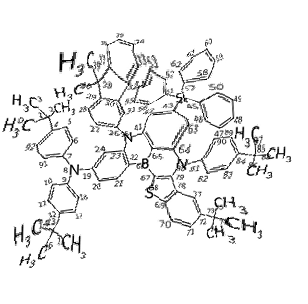 CC(C)(C)c1ccc(N(c2ccc(C(C)(C)C)cc2)c2ccc3c(c2)N(c2ccc4c(c2)-c2ccccc2C4(C)C)c2cc([Si](c4ccccc4)(c4ccccc4)c4ccccc4)cc4c2B3c2sc3ccc(C(C)(C)C)cc3c2N4c2ccc(C(C)(C)C)cc2)cc1